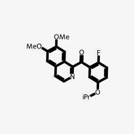 COc1cc2[c]cnc(C(=O)c3cc(OC(C)C)ccc3F)c2cc1OC